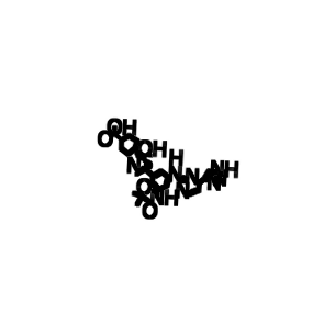 CC1(C)Oc2c(cc(Nc3nccc(-c4c[nH]nn4)n3)cc2-c2cnc([C@]3(O)CC[C@@H](C(=O)O)CC3)s2)NC1=O